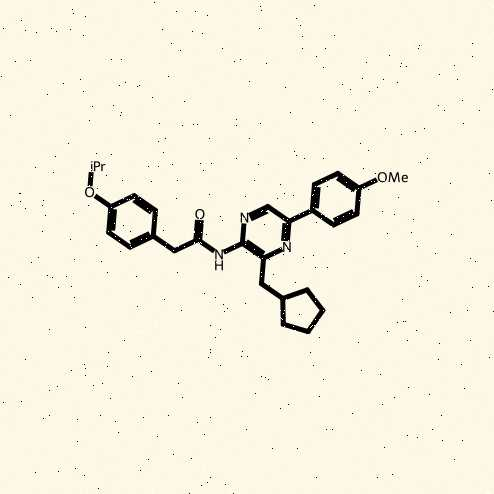 COc1ccc(-c2cnc(NC(=O)Cc3ccc(OC(C)C)cc3)c(CC3CCCC3)n2)cc1